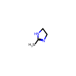 [SiH3]C1=NCCN1